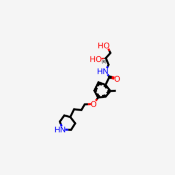 Cc1cc(OCCCC2CCNCC2)ccc1C(=O)NC[C@@H](O)CO